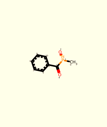 C[PH](=O)C(=O)c1ccccc1